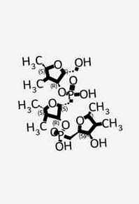 CC1[C@H](C)O[C@H](CP(=O)(O)O[C@@H]2C(C)[C@H](C)O[C@@H]2CP(=O)(O)O[C@@H]2C(C)[C@H](C)O[C@@H]2CO)[C@@H]1O